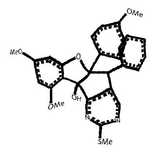 COc1ccc(C23Oc4cc(OC)cc(OC)c4C2(O)c2nc(SC)ncc2C3c2ccccc2)cc1